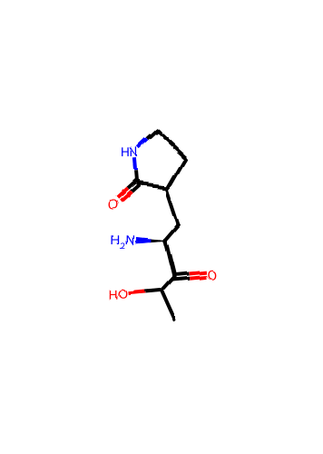 CC(O)C(=O)[C@@H](N)CC1CCNC1=O